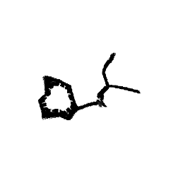 CC/C(C)=N\c1ccccc1